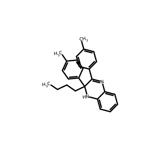 CCCCC1(c2ccc(C)cc2)Nc2ccccc2N=C1c1ccc(C)cc1